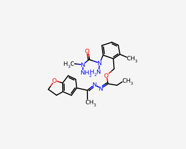 CC/C(=N/N=C(C)c1ccc2c(c1)CCO2)OCc1c(C)cccc1N(N)C(=O)N(C)N